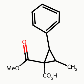 COC(=O)C1(C(=O)O)C(C)C1c1ccccc1